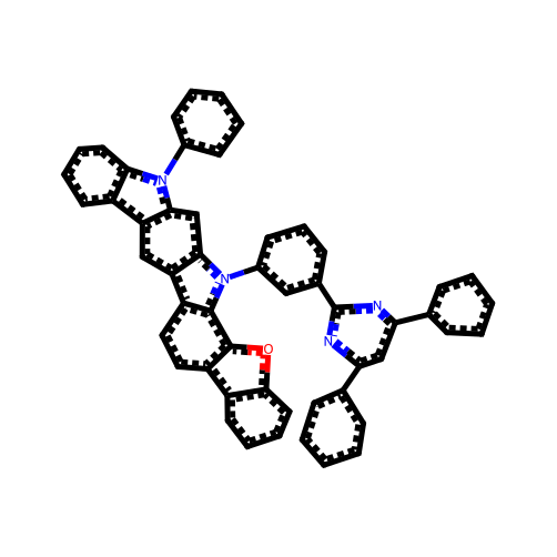 c1ccc(-c2cc(-c3ccccc3)nc(-c3cccc(-n4c5cc6c(cc5c5ccc7c8ccccc8oc7c54)c4ccccc4n6-c4ccccc4)c3)n2)cc1